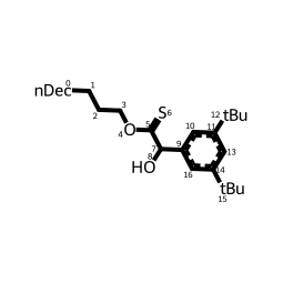 CCCCCCCCCCCCCOC(=S)C(O)c1cc(C(C)(C)C)cc(C(C)(C)C)c1